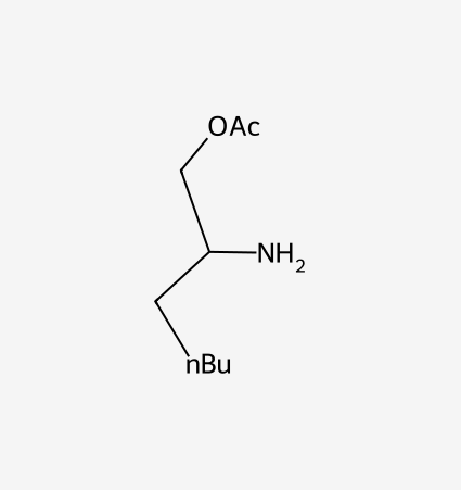 CCCCCC(N)COC(C)=O